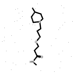 CNC(=O)CCOCCCN1CCC(C)CC1